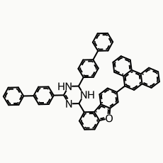 c1ccc(-c2ccc(C3=NC(c4cccc5oc6cc(-c7cc8ccccc8c8ccccc78)ccc6c45)NC(c4ccc(-c5ccccc5)cc4)N3)cc2)cc1